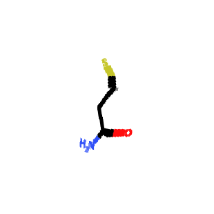 NC(=O)C[C]=S